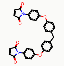 O=C1C=CC(=O)N1c1ccc(Oc2ccc(Cc3ccc(Oc4ccc(N5C(=O)C=CC5=O)cc4)cc3)cc2)cc1